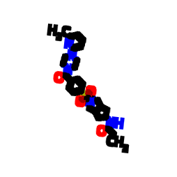 C=CC(=O)NC1CC2CN(S(=O)(=O)c3ccc(C(=O)N4CCN(c5cccc(C)n5)CC4)cc3)CC2C1